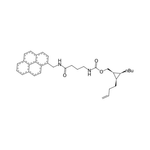 C=CCC[C@@H]1[C@H](CCCC)[C@@H]1COC(=O)NCCCC(=O)NCc1ccc2ccc3cccc4ccc1c2c34